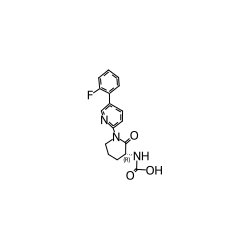 O=C(O)N[C@@H]1CCCN(c2ccc(-c3ccccc3F)cn2)C1=O